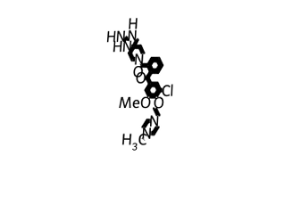 COc1cc(C(=O)c2ccccc2C(=O)N2CCC3(CC2)CNC(=N)N3)cc(Cl)c1OCCN1CCN(C)CC1